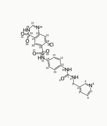 O=C(NCc1cccnc1)Nc1ccc(NS(=O)(=O)c2cc3c(cc2Cl)N=CNS3(=O)=O)cc1